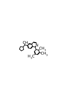 CC1=CC(c2nccc3cc(C(C)C4CCCC4)ccc23)C(C)C(C)=C1